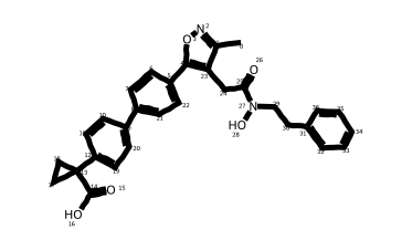 Cc1noc(-c2ccc(-c3ccc(C4(C(=O)O)CC4)cc3)cc2)c1CC(=O)N(O)CCc1ccccc1